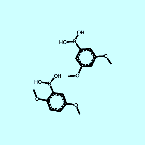 COc1cc(OC)cc(B(O)O)c1.COc1ccc(OC)c(B(O)O)c1